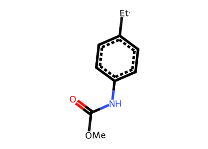 C[CH]c1ccc(NC(=O)OC)cc1